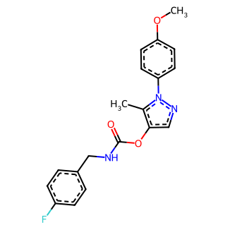 COc1ccc(-n2ncc(OC(=O)NCc3ccc(F)cc3)c2C)cc1